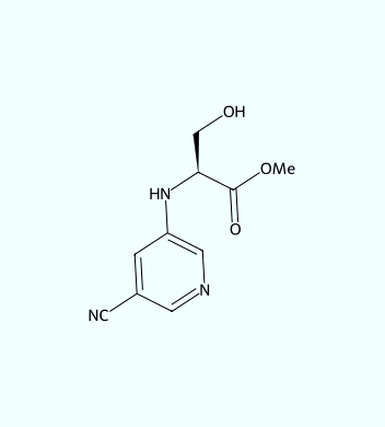 COC(=O)[C@H](CO)Nc1cncc(C#N)c1